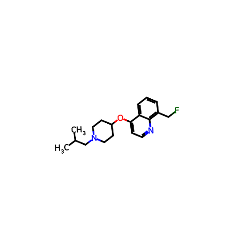 CC(C)CN1CCC(Oc2ccnc3c(CF)cccc23)CC1